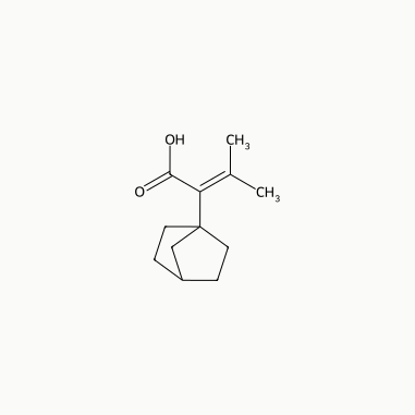 CC(C)=C(C(=O)O)C12CCC(CC1)C2